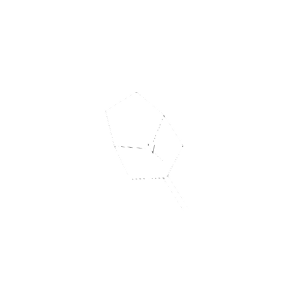 [CH]=C1CC2CCC(C1)N2C